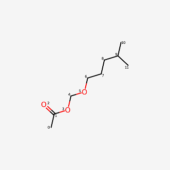 CC(=O)OCOCCCC(C)C